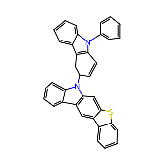 C1=CC(n2c3ccccc3c3cc4c(cc32)sc2ccccc24)Cc2c1n(-c1ccccc1)c1ccccc21